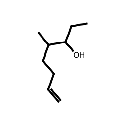 C=CCCC(C)C(O)CC